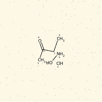 CCC(C)=O.Cl.NO